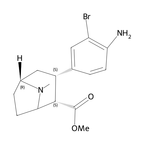 COC(=O)[C@@H]1C2CC[C@H](C[C@@H]1c1ccc(N)c(Br)c1)N2C